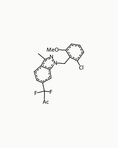 COc1cccc(Cl)c1Cn1nc(C)c2ccc(C(F)(F)C(C)=O)cc21